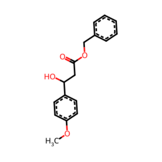 COc1ccc(C(O)CC(=O)OCc2ccccc2)cc1